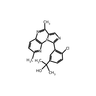 Cc1ccc2nc(C)c3cnc(-c4cc(C(C)(C)O)ccc4Cl)n3c2n1